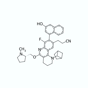 CN1CCC[C@H]1COc1nc2c(F)c(-c3cc(O)cc4ccccc34)c(CCC#N)cc2c2c1CCCN2C1C2CCC1C2